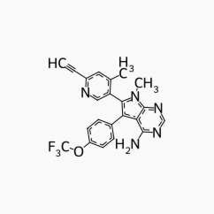 C#Cc1cc(C)c(-c2c(-c3ccc(OC(F)(F)F)cc3)c3c(N)ncnc3n2C)cn1